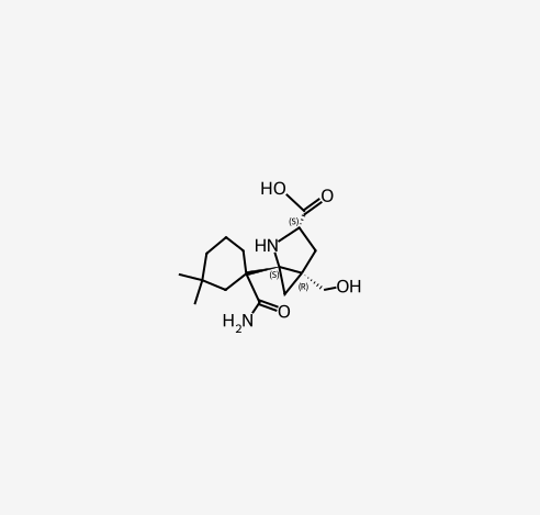 CC1(C)CCCC(C(N)=O)([C@]23C[C@]2(CO)C[C@@H](C(=O)O)N3)C1